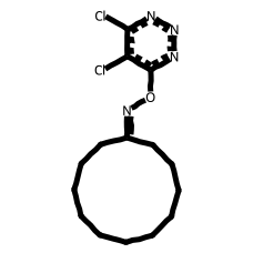 Clc1nnnc(ON=C2CCCCCCCCCCC2)c1Cl